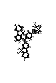 CC1(C)c2ccccc2-c2ccc(N(c3ccc(B4OC(C)(C)C(C)(C)O4)cc3)c3cccc4c3C(C)(C)C3C=CC=CC43)cc21